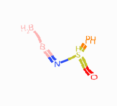 B/B=N/[SH](=O)=P